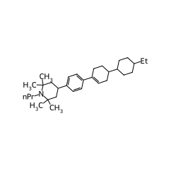 CCCN1C(C)(C)CC(c2ccc(C3=CCC(C4CCC(CC)CC4)CC3)cc2)CC1(C)C